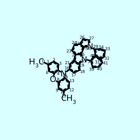 Cc1ccc2c(c1)Oc1cc(C)ccc1N2c1ccc2c(c1)c1ccc3ccn(-c4ccccc4)c3c1n2-c1ccccc1